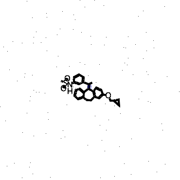 C/C(=C1/c2ccccc2CCc2cc(OCC3CC3)ccc21)c1cccc(NS(C)(=O)=O)c1